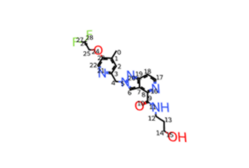 Cc1cc(Cn2cc3c(C(=O)NCCCO)nccc3n2)ncc1OCC(F)F